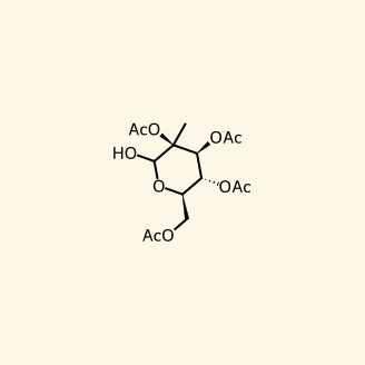 CC(=O)OC[C@H]1OC(O)[C@@](C)(OC(C)=O)[C@@H](OC(C)=O)[C@@H]1OC(C)=O